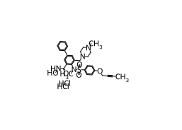 CC#CCOc1ccc(S(=O)(=O)N(C)c2c(CN3CCN(C)CC3)cc(-c3ccccc3)cc2C(=O)NO)cc1.Cl.Cl